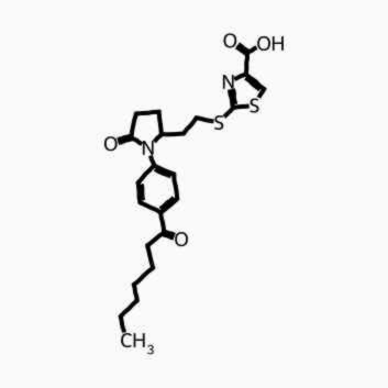 CCCCCCC(=O)c1ccc(N2C(=O)CCC2CCSc2nc(C(=O)O)cs2)cc1